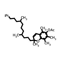 CC(=O)Oc1c(C)c(C)c2c(c1C)C=CC(C)(CCCC(C)CCCC(C)CCCC(C)C)O2